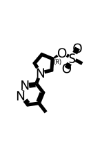 Cc1cnnc(N2CC[C@@H](OS(C)(=O)=O)C2)c1